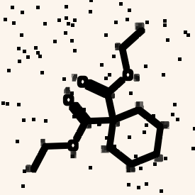 CCOC(=O)C1(C(=O)OCC)CCCCC1